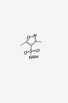 [CH2-][NH2+]S(=O)(=O)c1c(C)noc1C